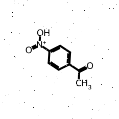 CC(=O)c1ccc([N+](=O)O)cc1